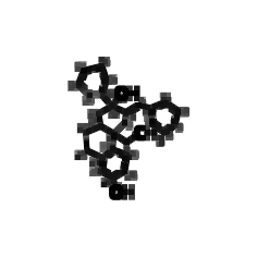 CCC12CC(=Cc3ccccc3)C(O)(c3ccccc3)CC1CCc1cc(O)ccc12